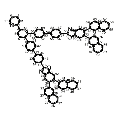 c1ccc(-c2ccc(-c3ccc(-c4ccc(-c5nc6cc(-c7ccc8ccccc8c7)c(-c7ccc8ccccc8c7)cc6o5)cc4)cc3)c(-c3ccc(-c4ccc(-c5nc6cc(-c7ccc8ccccc8c7)c(-c7ccc8ccccc8c7)cc6o5)cc4)cc3)n2)nc1